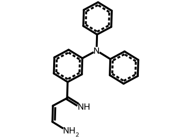 N=C(/C=C\N)c1cccc(N(c2ccccc2)c2ccccc2)c1